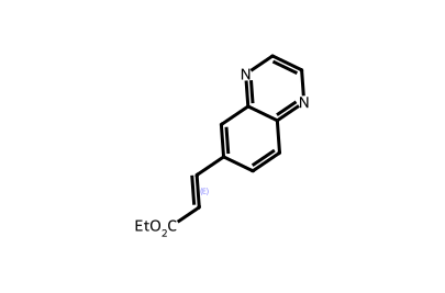 CCOC(=O)/C=C/c1ccc2nccnc2c1